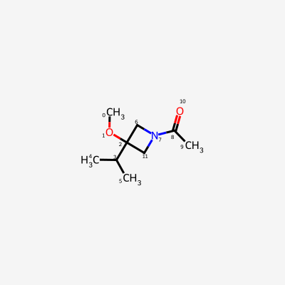 COC1(C(C)C)CN(C(C)=O)C1